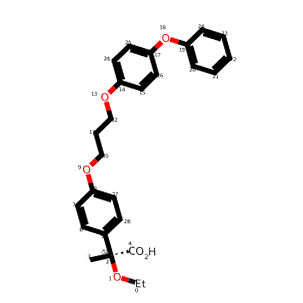 CCO[C@](C)(C(=O)O)c1ccc(OCCCOc2ccc(Oc3ccccc3)cc2)cc1